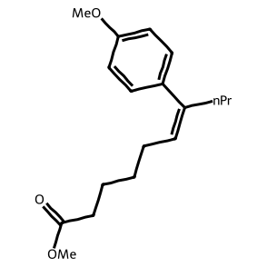 CCC/C(=C/CCCCC(=O)OC)c1ccc(OC)cc1